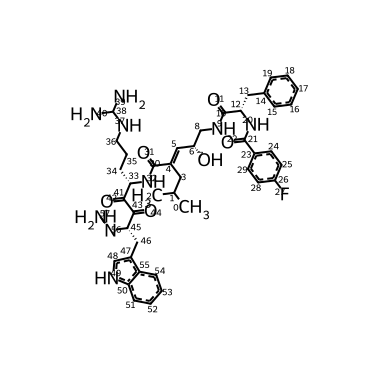 CC(C)C/C(=C\[C@@H](O)CNC(=O)[C@H](Cc1ccccc1)NC(=O)c1ccc(F)cc1)C(=O)N[C@@H](CCCNC(N)N)C(=O)C(=O)[C@H](Cc1c[nH]c2ccccc12)NN